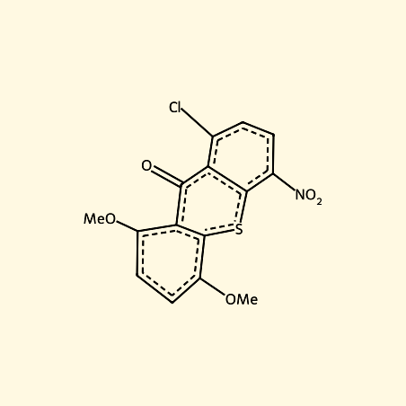 COc1ccc(OC)c2c(=O)c3c(Cl)ccc([N+](=O)[O-])c3sc12